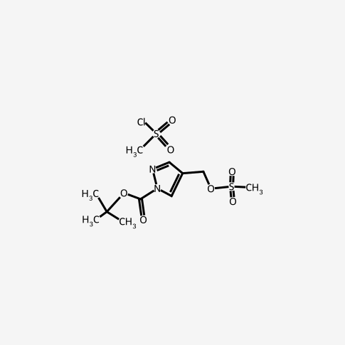 CC(C)(C)OC(=O)n1cc(COS(C)(=O)=O)cn1.CS(=O)(=O)Cl